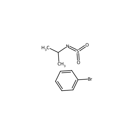 Brc1ccccc1.CC(C)N=S(=O)=O